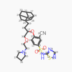 N#Cc1cc(S(=O)(=O)Nc2ncns2)ccc1OC(CCC12CC3CC(CC(C3)C1)C2)COCCN1CCCC1